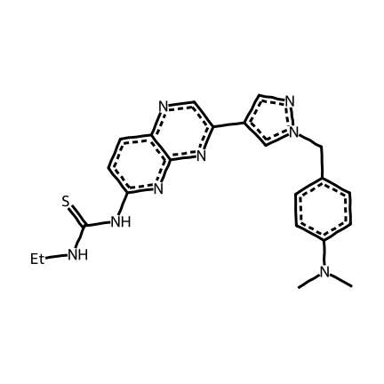 CCNC(=S)Nc1ccc2ncc(-c3cnn(Cc4ccc(N(C)C)cc4)c3)nc2n1